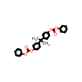 CC(C)(c1ccc(OC(=O)Oc2ccccc2)cc1)c1ccc(OC(=O)Oc2ccccc2)cc1